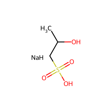 CC(O)CS(=O)(=O)O.[NaH]